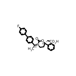 C[C@@H](c1ccc(-c2ccc(F)cc2)cc1)N1CC[C@](CC(=O)O)(c2ccccc2)OC1=O